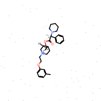 Cc1cccc(OCC[N+]23CCC(CC2)[C@@H](OC(=O)[C@](C)(c2ccccc2)N2CCCCC2)C3)c1